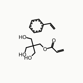 C=CC(=O)OCC(CO)(CO)CO.C=Cc1ccccc1